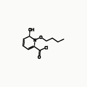 CCCCON1C(C(=O)Cl)=CC=CC1O